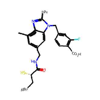 CCCc1nc2c(C)cc(CNC(=O)[C@@H](S)CC(C)(C)C)cc2n1Cc1ccc(C(=O)O)c(F)c1